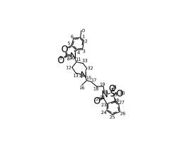 Cc1ccc2c(c1)oc(=O)n2C1CCN(C(C)CCCN2C(=O)c3ccccc3S2(=O)=O)CC1